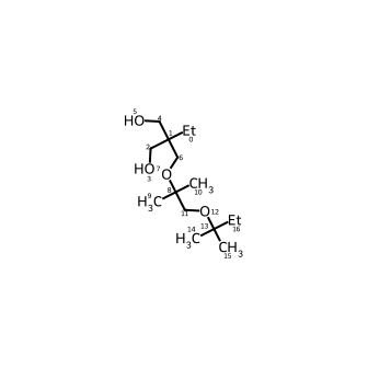 CCC(CO)(CO)COC(C)(C)COC(C)(C)CC